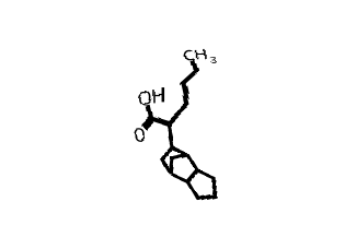 CCCCC(C(=O)O)C1CC2CC1C1CCCC21